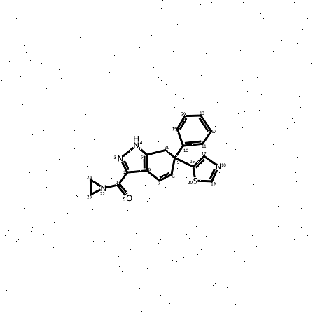 O=C(c1n[nH]c2c1C=CC(c1ccccc1)(c1cncs1)C2)N1CC1